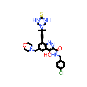 CC(C)(C#Cc1cc(CN2CCOCC2)cc2c(O)c(C(=O)NCc3ccc(Cl)cc3)nnc12)N1CNC(=S)NC1